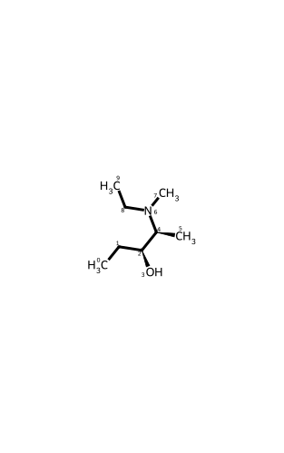 CC[C@H](O)[C@H](C)N(C)CC